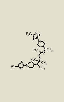 CC(CCC(C)(C)C(C)C1CCN(c2ncc(C(C)C)cn2)CC1)OC(C)C1CCN(c2nc(C(F)(F)F)no2)CC1